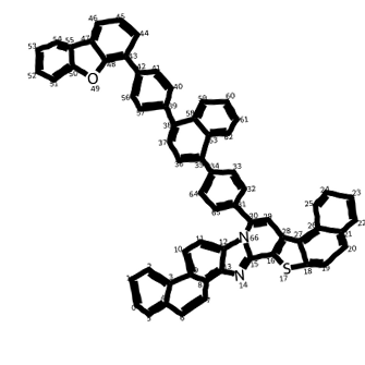 c1ccc2c(c1)ccc1c2ccc2c1nc1c3sc4ccc5ccccc5c4c3cc(-c3ccc(-c4ccc(-c5ccc(-c6cccc7c6oc6ccccc67)cc5)c5ccccc45)cc3)n21